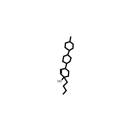 CCCCC1(O)C=CC(C2CCC(C3CCC(C)CC3)CC2)CC1